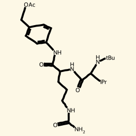 CC(=O)OCc1ccc(NC(=O)C(CCCNC(N)=O)NC(=O)C(NC(C)(C)C)C(C)C)cc1